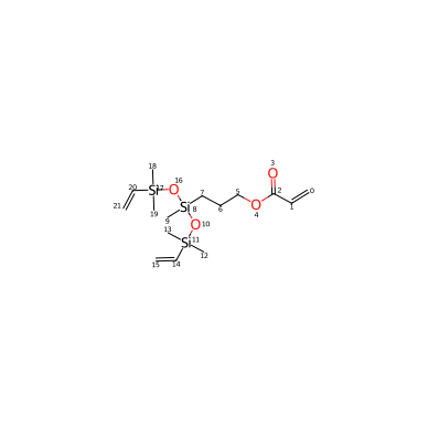 C=CC(=O)OCCC[Si](C)(O[Si](C)(C)C=C)O[Si](C)(C)C=C